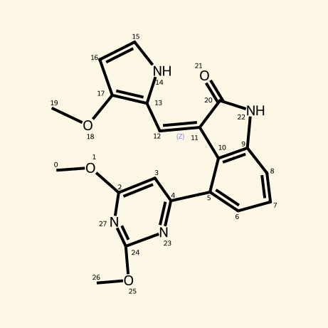 COc1cc(-c2cccc3c2/C(=C/c2[nH]ccc2OC)C(=O)N3)nc(OC)n1